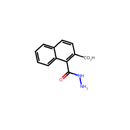 NNC(=O)c1c(C(=O)O)ccc2ccccc12